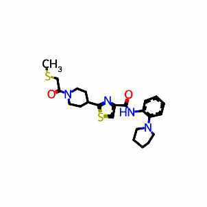 CSCC(=O)N1CCC(c2nc(C(=O)Nc3ccccc3N3CCCCC3)cs2)CC1